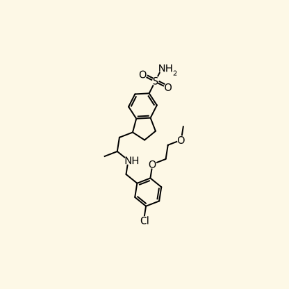 COCCOc1ccc(Cl)cc1CNC(C)CC1CCc2cc(S(N)(=O)=O)ccc21